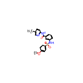 CCOc1ccc(S(=O)(=O)Nc2cccc(C(=O)Nc3ccc(C)cn3)c2)cc1